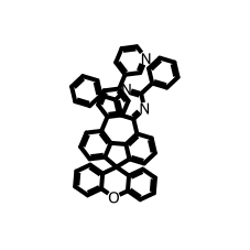 c1ccc(-c2cc(-c3cccc4c3-c3c(-c5ccc(-c6cccnc6)cc5)cccc3C43c4ccccc4Oc4ccccc43)nc(-c3ccccc3)n2)cc1